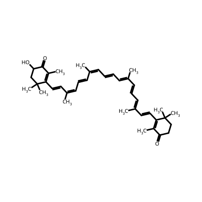 CC(C=CC=C(C)C=CC1=C(C)C(=O)CCC1(C)C)=CC=CC=C(C)C=CC=C(C)C=CC1=C(C)C(=O)C(O)CC1(C)C